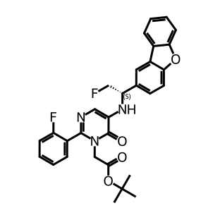 CC(C)(C)OC(=O)Cn1c(-c2ccccc2F)ncc(N[C@H](CF)c2ccc3oc4ccccc4c3c2)c1=O